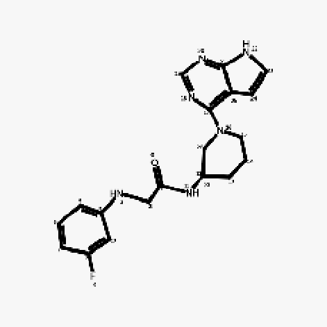 O=C(CNc1cccc(F)c1)N[C@@H]1CCCN(c2ncnc3[nH]ccc23)C1